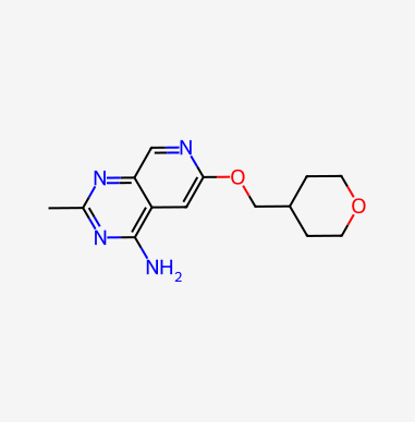 Cc1nc(N)c2cc(OCC3CCOCC3)ncc2n1